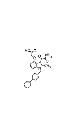 CC1C(C(=O)C(N)=O)c2c(OCC(=O)O)cccc2N1Cc1ccc(-c2ccccc2)cc1